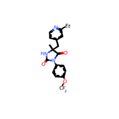 CCc1cc(CC2(C)NC(=O)N(c3ccc(OC(F)(F)F)cc3)C2=O)ccn1